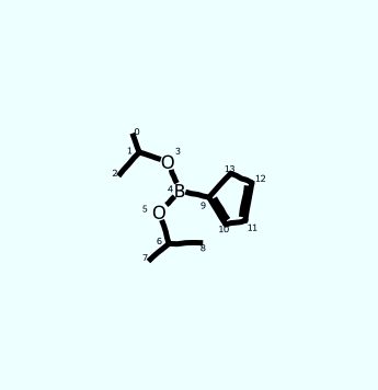 CC(C)OB(OC(C)C)C1=CC=CC1